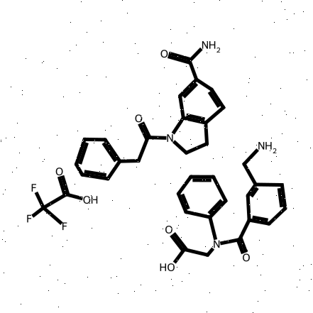 NC(=O)c1ccc2c(c1)N(C(=O)Cc1ccccc1)CC2.NCc1cccc(C(=O)N(CC(=O)O)c2ccccc2)c1.O=C(O)C(F)(F)F